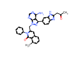 CC(=O)Cc1nc2ccc(-c3nn(Cc4cc5cccc(C)c5c(=O)n4-c4ccccc4)c4ncnc(N)c34)cc2[nH]1